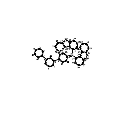 c1ccc(-c2cccc(-c3ccc(N(c4cccc5oc6ccccc6c45)c4cccc5sc6cccnc6c45)cc3)c2)cc1